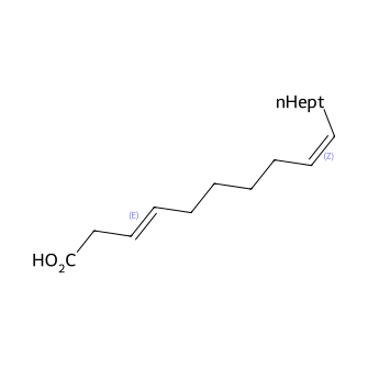 CCCCCCC/C=C\CCCC/C=C/CC(=O)O